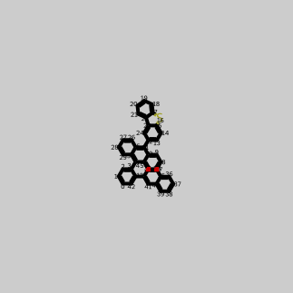 c1ccc(-c2c3ccccc3c(-c3ccc4sc5ccccc5c4c3)c3ccccc23)c(-c2ccc3ccccc3c2)c1